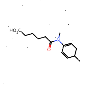 CC1C=CC(N(C)C(=O)CCCCC(=O)O)=CC1